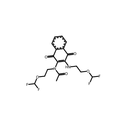 CC(=O)N(CCOC(F)F)C1=C(NCCOC(F)F)C(=O)c2ccccc2C1=O